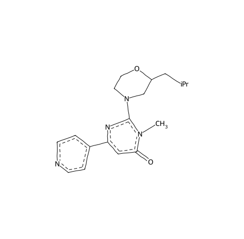 CC(C)CC1CN(c2nc(-c3ccncc3)cc(=O)n2C)CCO1